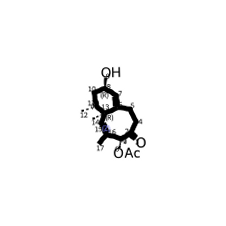 CC(=O)O[C@H]1C(=O)CCC2=C[C@H](O)C[C@@H](C)[C@]2(C)/C=C\1C